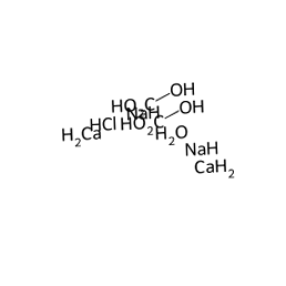 Cl.O.O=C(O)O.O=C(O)O.[CaH2].[CaH2].[NaH].[NaH]